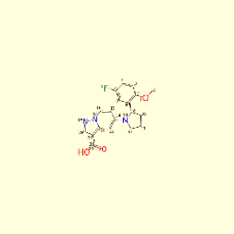 COc1ccc(F)cc1[C@H]1CCCN1c1ccn2ncc(C(=O)O)c2c1